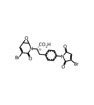 O=C(O)[C@H](Cc1ccc(N2C(=O)C=C(Br)C2=O)cc1)N1C(=O)C(Br)=CC2OC21